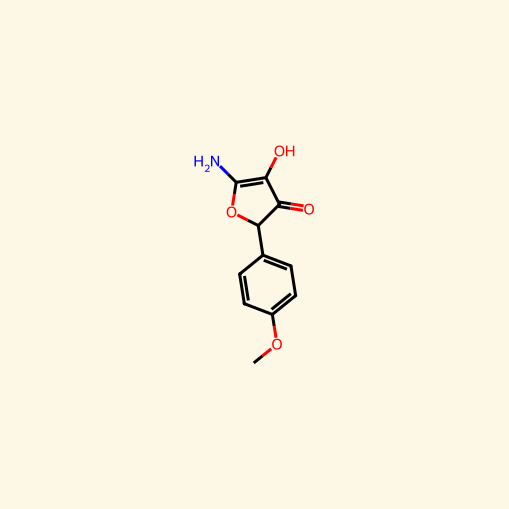 COc1ccc(C2OC(N)=C(O)C2=O)cc1